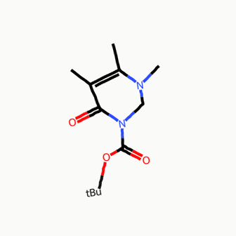 CC1=C(C)N(C)CN(C(=O)OC(C)(C)C)C1=O